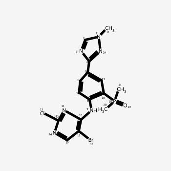 Cn1cnc(-c2ccc(Nc3nc(Cl)ncc3Br)c(P(C)(C)=O)c2)n1